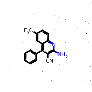 N#Cc1c(N)nc2ccc(C(F)(F)F)cc2c1-c1ccccc1